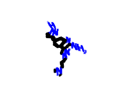 CN(C)CCCn1cc2c(n1)c(N)nc1cc(-c3cc[nH]n3)ccc12